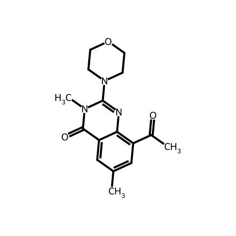 CC(=O)c1cc(C)cc2c(=O)n(C)c(N3CCOCC3)nc12